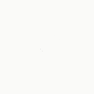 CC(C)CNCCC(C)c1ccccc1-c1ccccc1